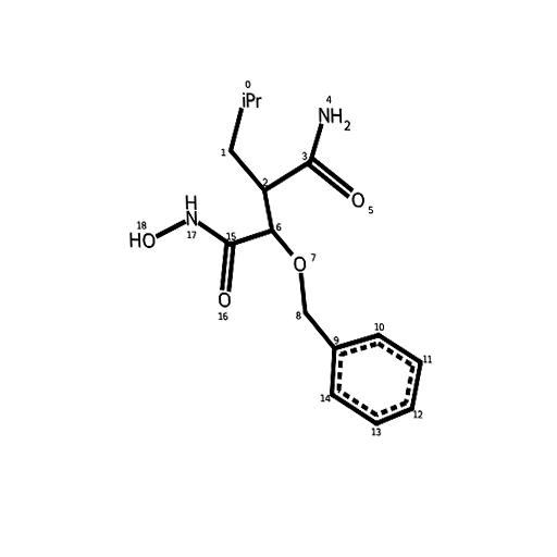 CC(C)CC(C(N)=O)C(OCc1ccccc1)C(=O)NO